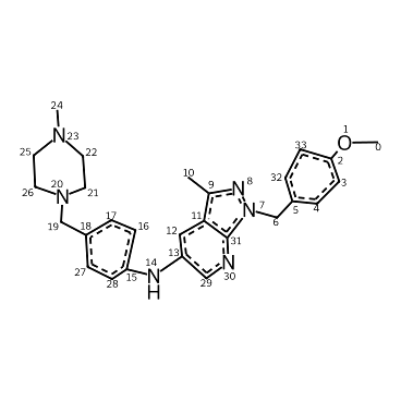 COc1ccc(Cn2nc(C)c3cc(Nc4ccc(CN5CCN(C)CC5)cc4)cnc32)cc1